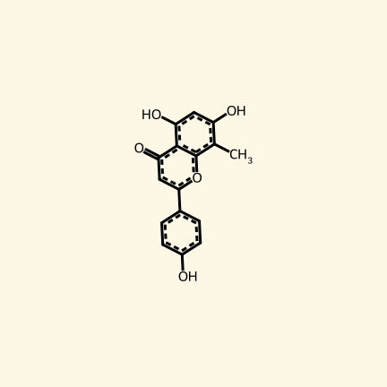 Cc1c(O)cc(O)c2c(=O)cc(-c3ccc(O)cc3)oc12